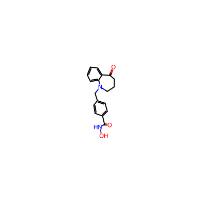 O=C(NO)c1ccc(CN2CCCC(=O)c3ccccc32)cc1